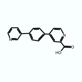 O=C(O)c1cc(-c2ccc(-c3cccnc3)cc2)ccn1